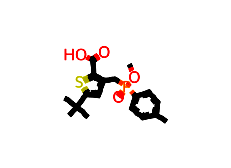 COP(=O)(Cc1cc(C(C)(C)C)sc1C(=O)O)c1ccc(C)cc1